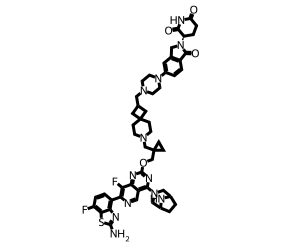 Nc1nc2c(-c3ncc4c(N5CC6CCC(C5)N6)nc(OCC5(CN6CCC7(CC6)CC(CN6CCN(c8ccc9c(c8)CN([C@H]8CCC(=O)NC8=O)C9=O)CC6)C7)CC5)nc4c3F)ccc(F)c2s1